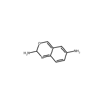 Nc1ccc2c(c1)=COC(N)N=2